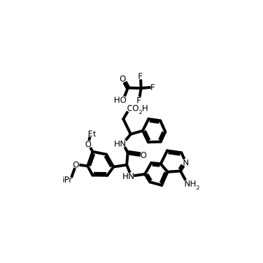 CCOc1cc(C(Nc2ccc3c(N)nccc3c2)C(=O)NC(CC(=O)O)c2ccccc2)ccc1OC(C)C.O=C(O)C(F)(F)F